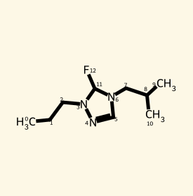 CCCN1N=CN(CC(C)C)C1F